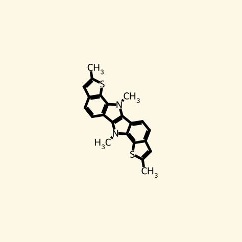 Cc1cc2ccc3c(c2s1)n(C)c1c2ccc4cc(C)sc4c2n(C)c31